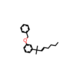 CCCCC=CC(C)(C)c1cccc(OCc2ccccc2)c1